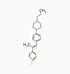 CCCC1CCC(c2ccc(/C=C(\C)c3ccc(F)cc3)cc2)CC1